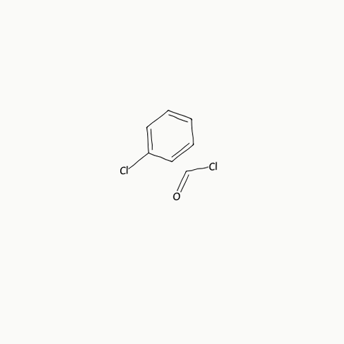 Clc1ccccc1.O=CCl